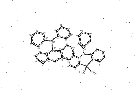 CC1(C)c2ccccc2N(c2ccccc2)c2c1ccc1c2ccc2c(N(c3ccccc3)c3ccccc3)c3ccccc3cc21